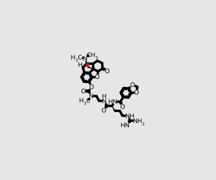 CC[C@]12c3c4ccc(OC(=O)N(C)CCNC(=O)[C@H](CCCNC(=N)N)NC(=O)c5ccc6c(c5)OCO6)c3OC1C(=O)CCC2[C@H](N(C)C)C4